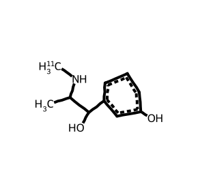 CC(N[11CH3])C(O)c1cccc(O)c1